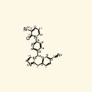 N#Cc1ccc(Cc2nccn2Cc2ccc(-n3cccc(Br)c3=O)nc2)cc1